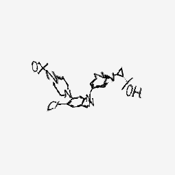 CC(C)(O)[C@H]1C[C@@H]1n1cc(-n2ncc3cc(Cl)c(N4CCN(C5(C)COC5)CC4)cc32)cn1